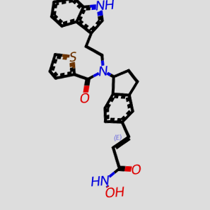 O=C(/C=C/c1ccc2c(c1)CCC2N(CCc1c[nH]c2ccccc12)C(=O)c1cccs1)NO